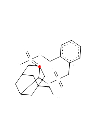 CC(C)(C)CC12CC3CC(C1)C(NS(=O)(=O)Cc1ccccc1CNS(C)(=O)=O)C(C3)C2